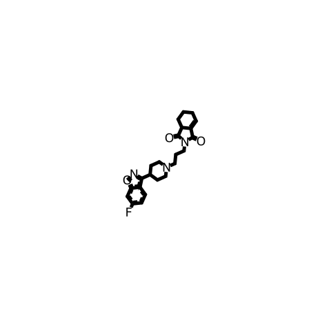 O=C1C2=CCCCC2C(=O)N1CCCN1CCC(c2noc3cc(F)ccc23)CC1